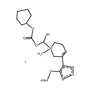 CCCCCCOc1nsnc1C1=CCC[N+](C)(C(OC(=O)OC2CCCCC2)C(C)C)C1.[I-]